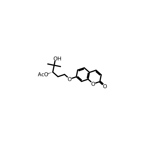 CC(=O)O[C@@H](CCOc1ccc2ccc(=O)oc2c1)C(C)(C)O